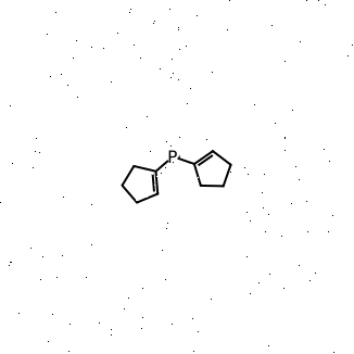 C1=C([P]C2=CCCC2)CCC1